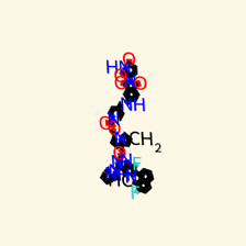 C#Cc1c(F)ccc2cccc(-c3ncc4c(N5CC6CCC(C5)N6)nc(OC[C@@]56CC[C@@H](COC(=O)N7CCC(CNc8ccc9c(c8)C(=O)N(C8CCC(=O)NC8=O)C9=O)CC7)N5CC(=C)C6)nc4c3F)c12